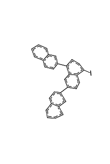 Ic1ccc(-c2ccc3ccccc3c2)c2cc(-c3ccc4ccccc4c3)ccc12